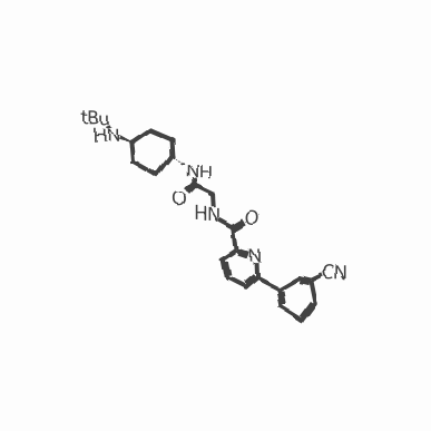 CC(C)(C)N[C@H]1CC[C@H](NC(=O)CNC(=O)c2cccc(-c3cccc(C#N)c3)n2)CC1